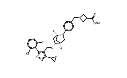 COC(=O)C1CN(Cc2ccc(N3C[C@@H]4C[C@H]3C[C@H]4OCc3c(-c4c(Cl)cccc4Cl)noc3C3CC3)cc2)C1